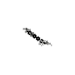 COCC(C)(C)N1CCN(c2ccc(-c3ccc(S(=O)(=O)N4CC=C(C(=O)NO)CC4)cc3)cc2)CC1